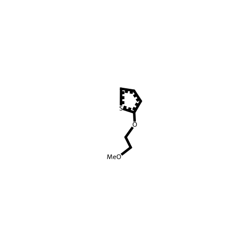 [CH2]OCCOc1cccs1